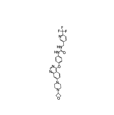 O=C(NCc1ccc(C(F)(F)F)nc1)Nc1ccc(Oc2ncnc3cc(N4CCN(C5COC5)CC4)ccc23)cc1